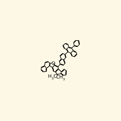 CC1(C)c2ccccc2-c2c1cc1c(oc3ccc4ccccc4c31)c2-c1ccc2cc(-c3c4ccccc4c(-c4ccccc4)c4ccccc34)ccc2c1